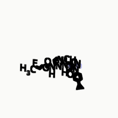 C/N=C\N1/C(=C/C(C)Nc2nccc(NC(=O)OCCC(C)F)n2)COc2cc(C3CC3)ccc21